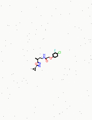 C=C(CCNC(=O)COc1ccc(Cl)c(F)c1)c1nnc([C@H]2C[C@@H]2C)o1